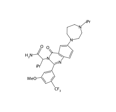 COc1cc(-c2nc3ccc(N4CCCN(C(C)C)CC4)cc3c(=O)n2C(C(N)=O)C(C)C)cc(C(F)(F)F)c1